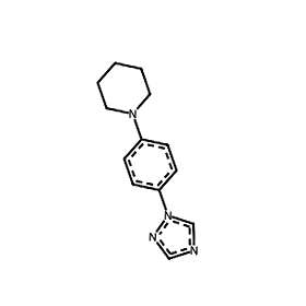 c1ncn(-c2ccc(N3CCCCC3)cc2)n1